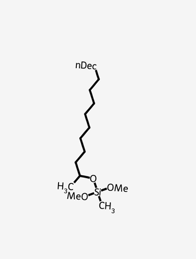 CCCCCCCCCCCCCCCCCCC(C)O[Si](C)(OC)OC